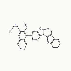 CC/C=C\c1cc2c(c(-c3ccc4c(c3)oc3ccc5c6c(oc5c34)CCC=C6)c1C=S)=CCCC=2